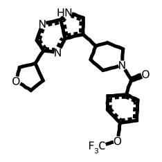 O=C(c1ccc(OC(F)(F)F)cc1)N1CCC(c2c[nH]c3ncc(C4CCOC4)nc23)CC1